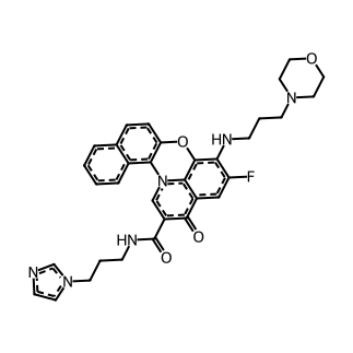 O=C(NCCCn1ccnc1)c1cn2c3c(c(NCCCN4CCOCC4)c(F)cc3c1=O)Oc1ccc3ccccc3c1-2